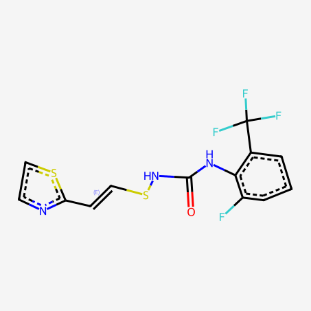 O=C(NS/C=C/c1nccs1)Nc1c(F)cccc1C(F)(F)F